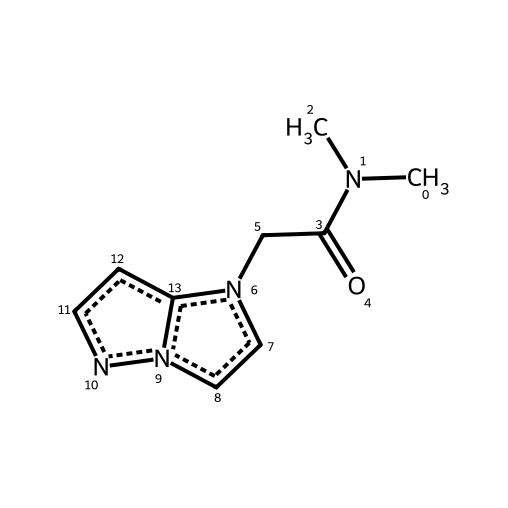 CN(C)C(=O)Cn1ccn2nccc12